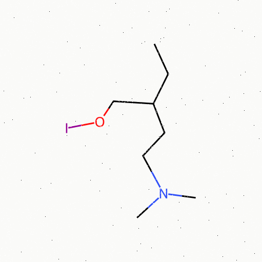 CCC(CCN(C)C)COI